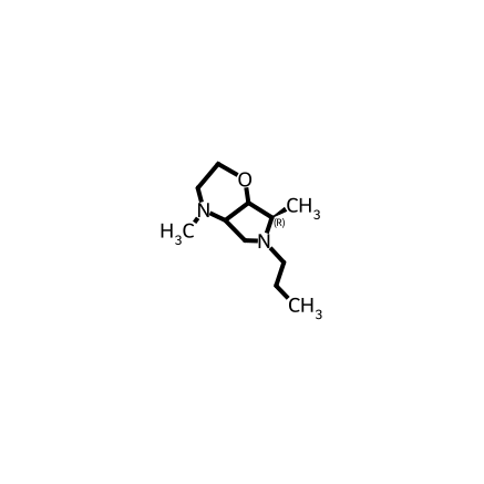 CCCN1CC2C(OCCN2C)[C@H]1C